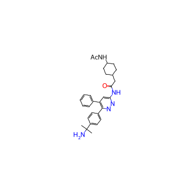 CC(=O)NC1CCC(CC(=O)Nc2cc(-c3ccccc3)c(-c3ccc(C(C)(C)N)cc3)nn2)CC1